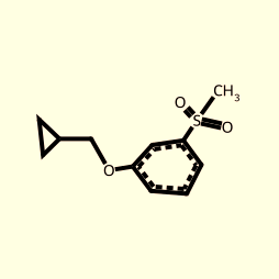 CS(=O)(=O)c1cccc(OCC2CC2)c1